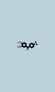 CN(C)c1ccc(C(=O)c2ccc(O)c(O)c2)cc1